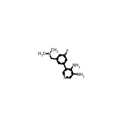 CN(C)Cc1cc(F)cc(-c2cncc(N)c2N)c1